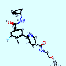 Cc1c(F)cc(C(=O)NC2CC2)cc1-c1ccc(C(=O)NCCOC(C)(C)C)cn1